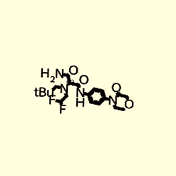 CC(C)(C)CN(CC(F)F)[C@@H](C(N)=O)C(=O)Nc1ccc(N2CCOCC2=O)cc1